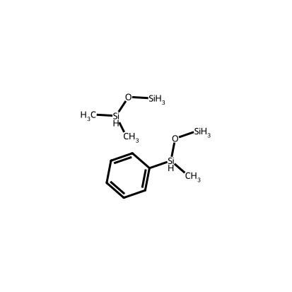 C[SiH](C)O[SiH3].C[SiH](O[SiH3])c1ccccc1